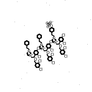 Clc1ccc(COC(C[n+]2ccn(CCc3ccccc3)c2)c2ccc(Cl)cc2Cl)c(Cl)c1.Clc1ccc(COC(C[n+]2ccn(CCc3ccccc3)c2)c2ccc(Cl)cc2Cl)c(Cl)c1.Clc1ccc(COC(C[n+]2ccn(CCc3ccccc3)c2)c2ccc(Cl)cc2Cl)c(Cl)c1.O=P([O-])([O-])[O-]